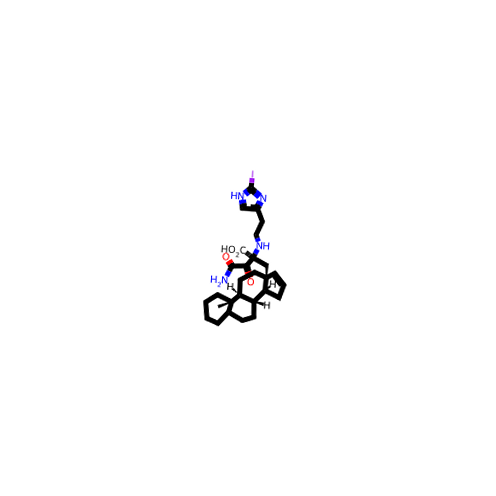 C[C@]12CCCCC1CC[C@H]1[C@@H]3CC=C[C@@]3(CC(NCCc3c[nH]c(I)n3)(C(=O)O)C(=O)C(N)=O)CC[C@@H]12